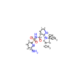 C[C@@H]1CN(c2ncccc2C(=O)NS(=O)(=O)c2cccc(N)n2)C(C)(C)C1